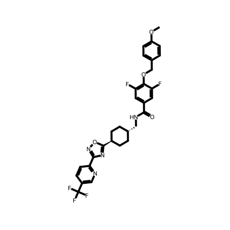 COc1ccc(COc2c(F)cc(C(=O)NC[C@H]3CC[C@H](c4nc(-c5ccc(C(F)(F)F)cn5)no4)CC3)cc2F)cc1